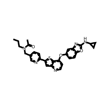 CCCN(Cc1ccc(-c2cc3nccc(Oc4ccc5oc(NC6CC6)nc5c4)c3s2)nc1)C(C)=O